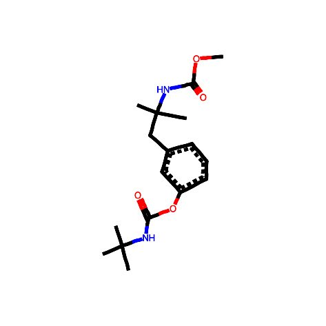 COC(=O)NC(C)(C)Cc1cccc(OC(=O)NC(C)(C)C)c1